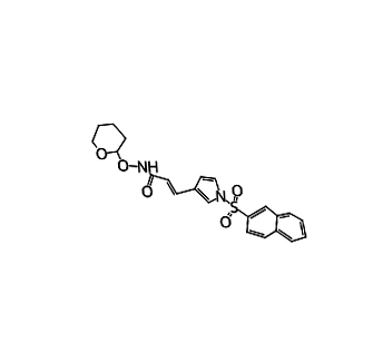 O=C(C=Cc1ccn(S(=O)(=O)c2ccc3ccccc3c2)c1)NOC1CCCCO1